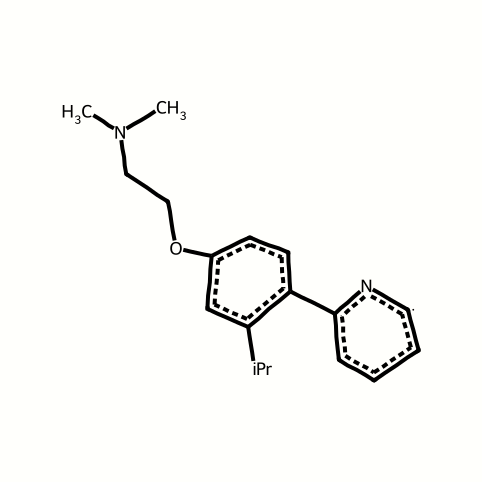 CC(C)c1cc(OCCN(C)C)ccc1-c1ccc[c]n1